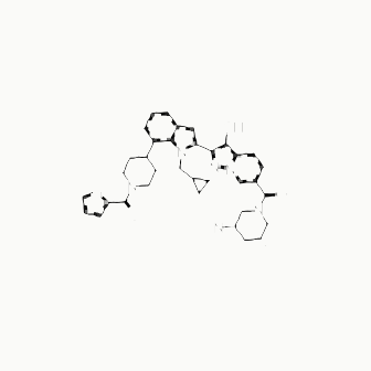 Cc1c(-c2cc3cccc(C4CCN(C(=O)c5cccs5)CC4)c3n2CC2CC2)nn2cc(C(=O)N3C[C@H](N)C[C@@H](F)C3)ccc12